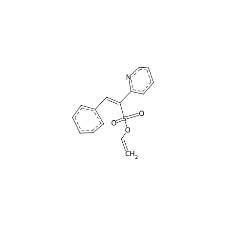 C=COS(=O)(=O)C(=Cc1ccccc1)c1ccccn1